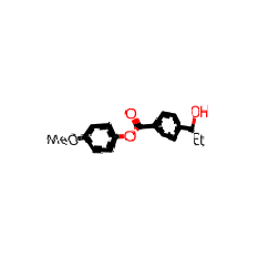 CCC(O)c1ccc(C(=O)Oc2ccc(OC)cc2)cc1